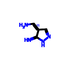 N=C1NN=C/C1=C/N